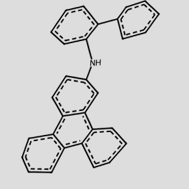 c1ccc(-c2ccccc2Nc2ccc3c4ccccc4c4ccccc4c3c2)cc1